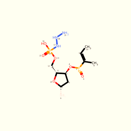 B[C@H]1C[C@H](O[PH](=O)C(C)=CC)[C@@H](COP(=O)(O)NNN)O1